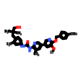 CCOc1cc(-c2cnc(NC(=O)Nc3ccc(CC(C)(C)CO)c(C(F)(F)F)c3)c(C)c2)cnc1OCc1ccc(OC)cc1